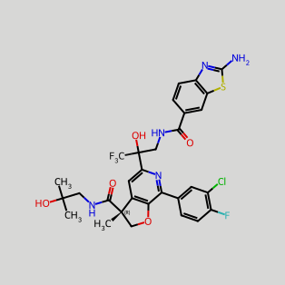 CC(C)(O)CNC(=O)[C@@]1(C)COc2c1cc(C(O)(CNC(=O)c1ccc3nc(N)sc3c1)C(F)(F)F)nc2-c1ccc(F)c(Cl)c1